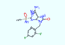 CCCS(=N)(=O)c1nc(N)c2[nH]c(=O)n(Cc3ccc(F)cc3F)c2n1